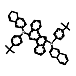 CC(C)(C)c1ccc(N(C2=CCC3C=CC=CC3=C2)c2cc3c4ccccc4c(N(c4ccc(C(C)(C)C)cc4)c4ccc5c(c4)C=CCC5)cc3c3ccccc23)cc1